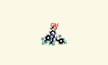 O=C(O)C[C@@H]1CCN([C@H](CCc2ccc(F)cc2F)CCC(F)(F)F)[C@H](c2ccc(C(F)(F)F)cc2)C1